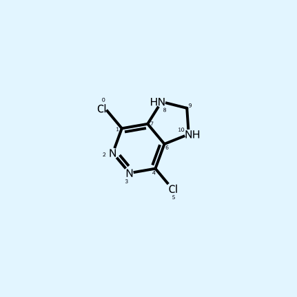 Clc1nnc(Cl)c2c1NCN2